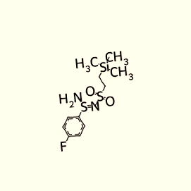 C[Si](C)(C)CCS(=O)(=O)/N=S(\N)c1ccc(F)cc1